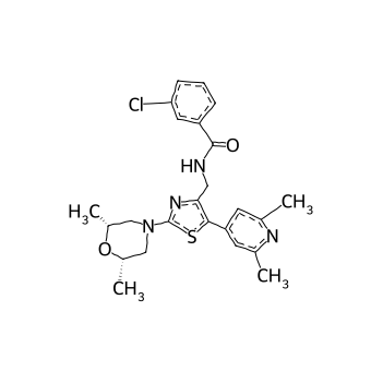 Cc1cc(-c2sc(N3C[C@@H](C)O[C@@H](C)C3)nc2CNC(=O)c2cccc(Cl)c2)cc(C)n1